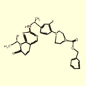 CC(C)[C@H](C)n1c(=O)ccc2cnc(N[C@@H](C)c3ccc(N4CCN(C(=O)OCc5ccccc5)CC4)c(F)c3)nc21